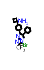 NC1(c2ccc(-c3nc4nc(C(F)(F)F)c(Br)n4cc3-c3ccccc3)cc2)CCC1